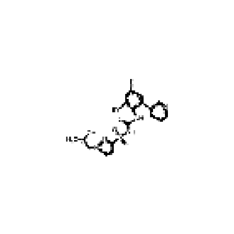 CC(C)c1cc(F)cc(-c2cccnc2)c1NC(=O)NS(=O)(=O)c1ccn(C[C@H](C)O)n1